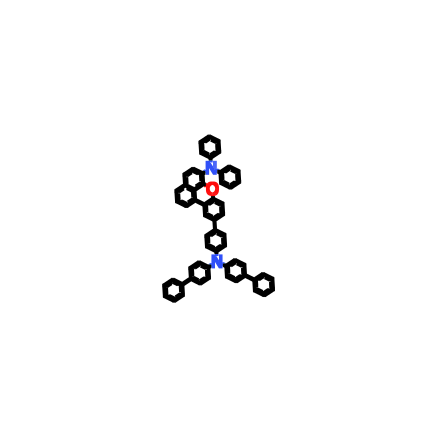 c1ccc(-c2ccc(N(c3ccc(-c4ccccc4)cc3)c3ccc(-c4ccc5c(c4)-c4cccc6ccc(N(c7ccccc7)c7ccccc7)c(c46)O5)cc3)cc2)cc1